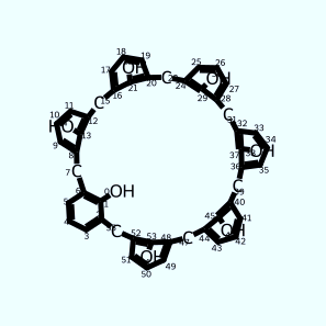 Oc1c2cccc1Cc1cccc(c1O)Cc1cccc(c1O)Cc1cccc(c1O)Cc1cccc(c1O)Cc1cccc(c1O)Cc1cccc(c1O)C2